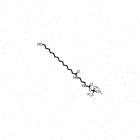 CC(C)(C)OC(=O)NCCCNC(=O)CCCCCCCCCCCCCCO